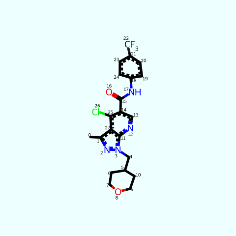 Cc1nn(CC2CCOCC2)c2ncc(C(=O)Nc3ccc(C(F)(F)F)cc3)c(Cl)c12